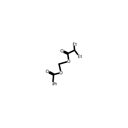 CCC(CC)C(=O)OCOC(=O)C(C)C